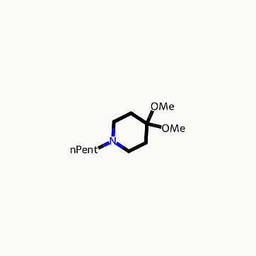 CCCCCN1CCC(OC)(OC)CC1